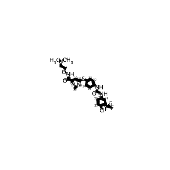 CN(C)CCONC(=O)c1cc(Sc2ccc(NC(=O)Nc3ccc(Cl)c(C(F)(F)F)c3)cc2)ncn1